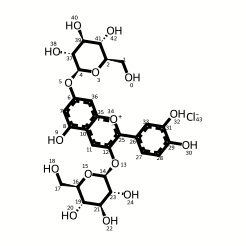 OC[C@H]1O[C@@H](Oc2cc(O)c3cc(O[C@@H]4O[C@H](CO)[C@@H](O)[C@H](O)[C@H]4O)c(-c4ccc(O)c(O)c4)[o+]c3c2)[C@H](O)[C@@H](O)[C@@H]1O.[Cl-]